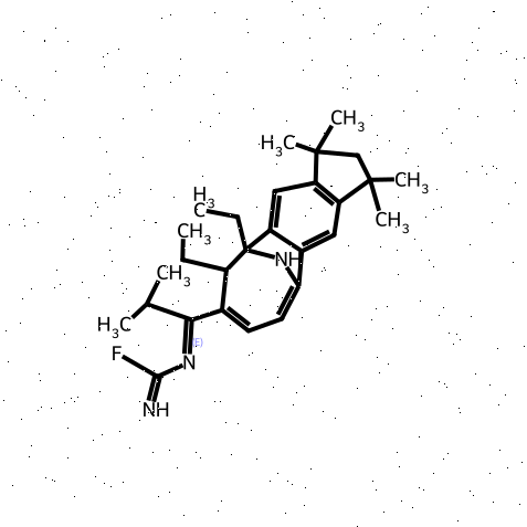 CCC1C(/C(=N/C(=N)F)C(C)C)=CC=C2NC1(CC)c1cc3c(cc12)C(C)(C)CC3(C)C